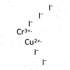 [Cr+3].[Cu+2].[I-].[I-].[I-].[I-].[I-]